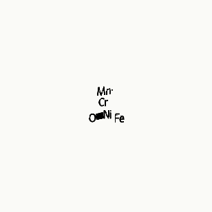 [Cr].[Fe].[Mn].[O]=[Ni]